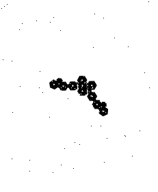 CC1(C)c2ccccc2-c2ccc(-c3ccc(N4c5ccccc5B5c6ccccc6N(c6ccc(-c7ccc8c(c7)C(C)(C)c7ccccc7-8)cc6)c6cccc4c65)cc3)cc21